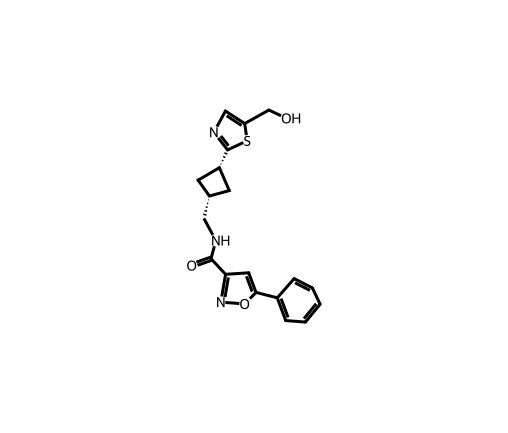 O=C(NC[C@H]1C[C@@H](c2ncc(CO)s2)C1)c1cc(-c2ccccc2)on1